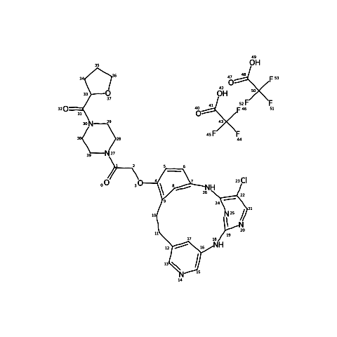 O=C(COc1ccc2cc1CCc1cncc(c1)Nc1ncc(Cl)c(n1)N2)N1CCN(C(=O)C2CCCO2)CC1.O=C(O)C(F)(F)F.O=C(O)C(F)(F)F